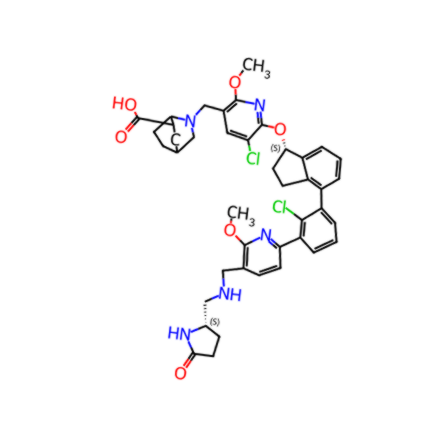 COc1nc(-c2cccc(-c3cccc4c3CC[C@@H]4Oc3nc(OC)c(CN4CC5CCC4C(C(=O)O)C5)cc3Cl)c2Cl)ccc1CNC[C@@H]1CCC(=O)N1